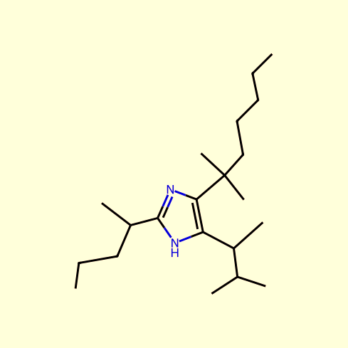 CCCCCC(C)(C)c1nc(C(C)CCC)[nH]c1C(C)C(C)C